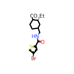 CCOC(=O)C1CCC(CNC(=O)c2cc(Br)cs2)CC1